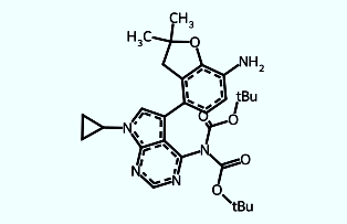 CC(C)(C)OC(=O)N(C(=O)OC(C)(C)C)c1ncnc2c1c(-c1ccc(N)c3c1CC(C)(C)O3)cn2C1CC1